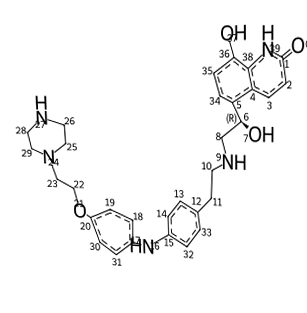 O=c1ccc2c([C@@H](O)CNCCc3ccc(Nc4ccc(OCCN5CCNCC5)cc4)cc3)ccc(O)c2[nH]1